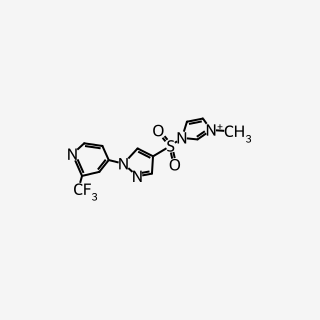 C[n+]1ccn(S(=O)(=O)c2cnn(-c3ccnc(C(F)(F)F)c3)c2)c1